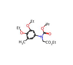 CCOC(=O)CN(C(=O)OC(C)C)c1cc(C)c(OCC)c(OCC)c1